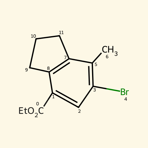 CCOC(=O)c1cc(Br)c(C)c2c1CCC2